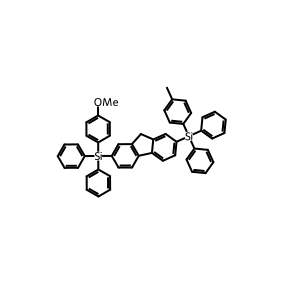 COc1ccc([Si](c2ccccc2)(c2ccccc2)c2ccc3c(c2)Cc2cc([Si](c4ccccc4)(c4ccccc4)c4ccc(C)cc4)ccc2-3)cc1